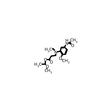 CCN(CCC(=O)OC(C)OC)c1cc(NC(C)=O)ccc1OC